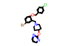 Clc1ccc(COc2ccc(Br)cc2CN2CCC(Oc3ncccn3)CC2)cc1